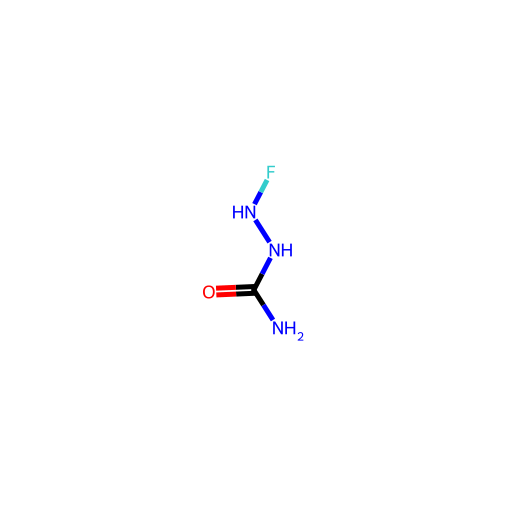 NC(=O)NNF